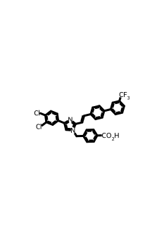 O=C(O)c1ccc(Cn2cc(-c3ccc(Cl)c(Cl)c3)nc2C=Cc2ccc(-c3cccc(C(F)(F)F)c3)cc2)cc1